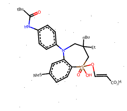 CCCCC1(CC)CN(c2ccc(NC(=O)C(C)(C)C)cc2)c2cc(SC)ccc2S(=O)(O)(O/C=C/C(=O)O)C1